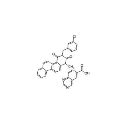 CC1C(=O)C(Cc2cccc(Cl)c2)C(=O)c2c1ccc1c2ccc2ccccc21.O=C(O)c1ccc2ncncc2c1